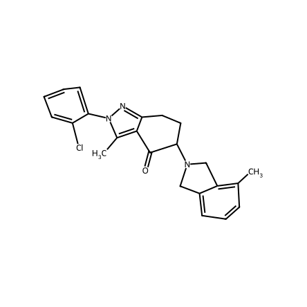 Cc1cccc2c1CN(C1CCc3nn(-c4ccccc4Cl)c(C)c3C1=O)C2